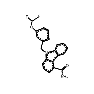 NC(=O)c1cccc2c1c1[c]cccc1n2Cc1cccc(OC(F)F)c1